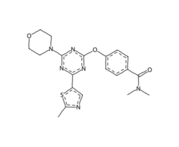 Cc1ncc(-c2nc(Oc3ccc(C(=O)N(C)C)cc3)nc(N3CCOCC3)n2)s1